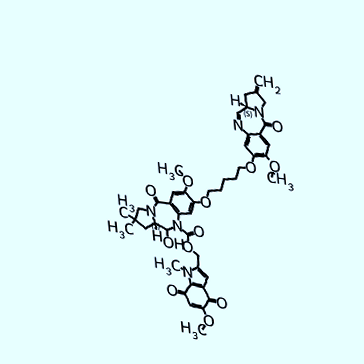 C=C1C[C@H]2C=Nc3cc(OCCCCCOc4cc5c(cc4OC)C(=O)N4CC(C)(C)C[C@H]4C(O)N5C(=O)OCc4cc5c(n4C)C(=O)C=C(OC)C5=O)c(OC)cc3C(=O)N2C1